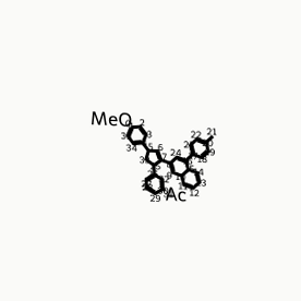 COc1ccc(C2C=C(C3=CC4C=CC=CC4C(c4ccc(C)cc4)=C3)C(c3cccc(C(C)=O)c3)C2)cc1